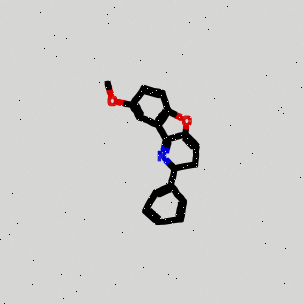 COc1ccc2oc3c(c2c1)=NC(c1ccccc1)CC=3